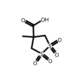 CC1(C(=O)O)CS(=O)(=O)S(=O)(=O)C1